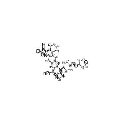 CCCc1c(Cc2ccc(-c3ccccc3-c3noc(=O)[nH]3)cc2)c(=O)n(C2CCC(=NOC3CCOCC3)CC2)c2ncnn12